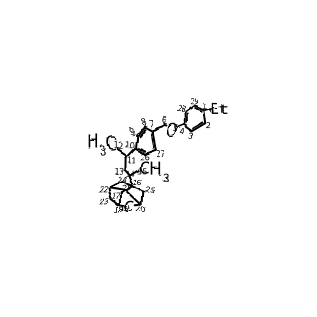 CCc1ccc(OCc2ccc(C(C)CC(C)C34CC5CC(CC(C5)C3)C4)cc2)cc1